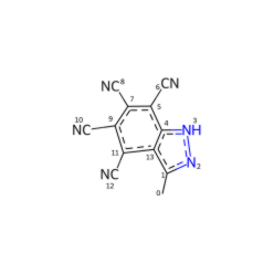 Cc1n[nH]c2c(C#N)c(C#N)c(C#N)c(C#N)c12